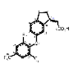 O=C(O)/C=C1/CCc2ccc(Oc3c(F)cc(C(F)(F)F)cc3Cl)cc21